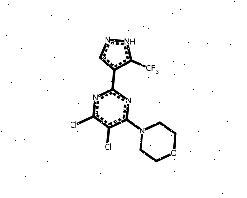 FC(F)(F)c1[nH]ncc1-c1nc(Cl)c(Cl)c(N2CCOCC2)n1